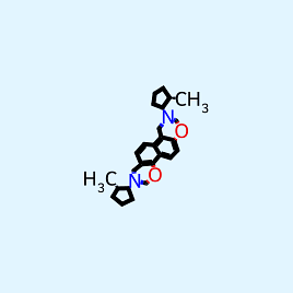 C[C@@H]1CCC[C@H]1N1COc2c(ccc3c4c(ccc23)OCN([C@@H]2CCC[C@H]2C)C4)C1